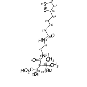 CC(C)(C)C(C(=O)O)C(C(=O)NCCNC(=O)CCCCC1CCSS1)C(C)(C)C(C)(C)C